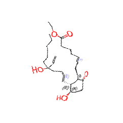 C=CC(O)(C/C=C/[C@H]1[C@H](O)CC(=O)[C@@H]1C/C=C\CCCC(=O)OCC)CCCCC